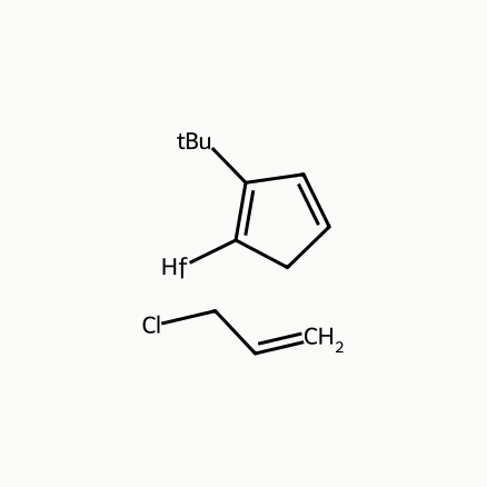 C=CCCl.CC(C)(C)C1=[C]([Hf])CC=C1